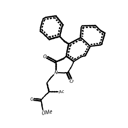 COC(=O)C(CN1C(=O)c2cc3ccccc3c(-c3ccccc3)c2C1=O)C(C)=O